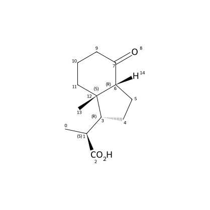 C[C@H](C(=O)O)[C@H]1CC[C@H]2C(=O)CCC[C@@]12C